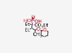 CCOC(=O)C(CC)(C(CC)C(C)OC1CCCCO1)P(=O)(O)O